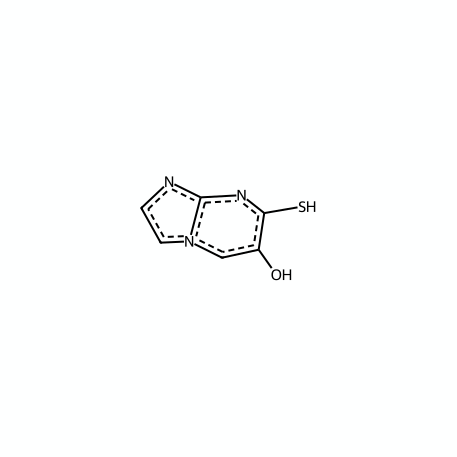 Oc1cn2ccnc2nc1S